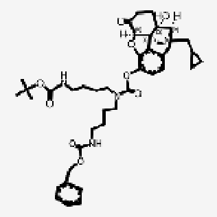 CC(C)(C)OC(=O)NCCCCN(CCCCNC(=O)OCc1ccccc1)C(=O)Oc1ccc2c3c1O[C@H]1C(=O)CC[C@@]4(O)[C@@H](C2)N(CC2CC2)CC[C@]314